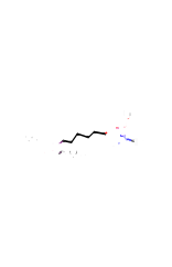 CCCOP(OCCCCCCP(=O)(OC)OC)N(C(C)C)C(C)C